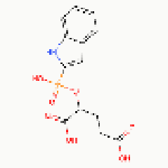 O=C(O)CCC(OP(=O)(O)c1cc2ccccc2[nH]1)C(=O)O